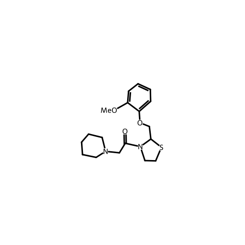 COc1ccccc1OCC1SCCN1C(=O)CN1CCCCC1